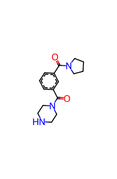 O=C(c1cccc(C(=O)N2CCNCC2)c1)N1CCCC1